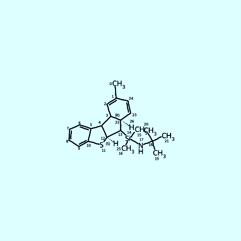 CC1=CC2C3c4ccccc4S[C@@H]3C([Si](C)(C)NC(C)(C)C)[C@@H]2C=C1